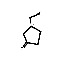 O=C1CC[C@H](CF)C1